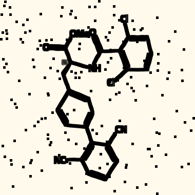 COC(=O)[C@H](Cc1ccc(-c2c(C#N)cccc2C#N)cc1)NC(=O)c1c(Cl)cccc1Cl